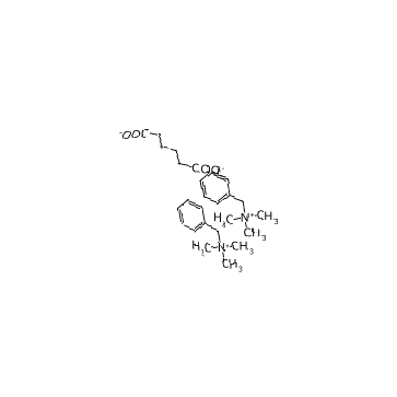 C[N+](C)(C)Cc1ccccc1.C[N+](C)(C)Cc1ccccc1.O=C([O-])CCCCC(=O)[O-]